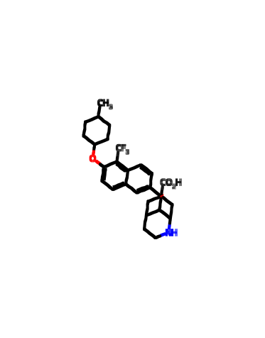 CC1CCC(Oc2ccc3cc(CC4C5CCNC4CC(C(=O)O)C5)ccc3c2C(F)(F)F)CC1